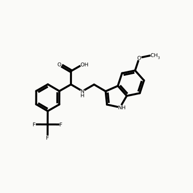 COc1ccc2[nH]cc(CNC(C(=O)O)c3cccc(C(F)(F)F)c3)c2c1